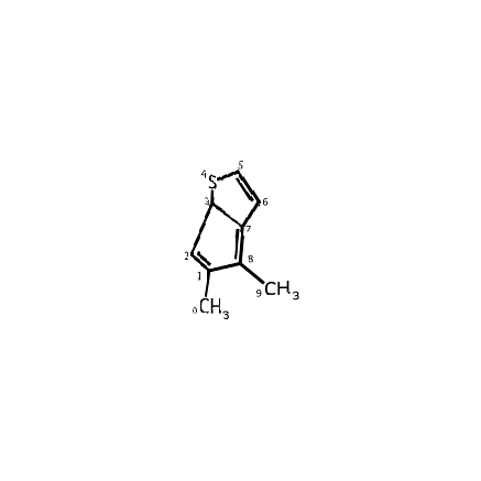 CC1=CC2SC=[C]C2=C1C